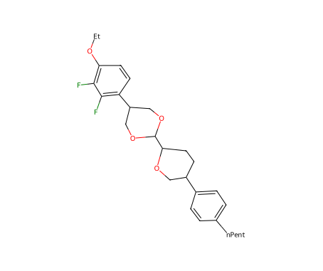 CCCCCc1ccc(C2CCC(C3OCC(c4ccc(OCC)c(F)c4F)CO3)OC2)cc1